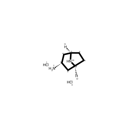 Cl.Cl.N[C@@H]1C[C@H]2CC[C@@H](C1)N2